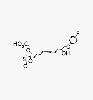 O=C(O)COCC1(/C=C/C=C/C#C/C=C/[C@@H](O)COc2ccc(F)cc2)CSC(=O)O1